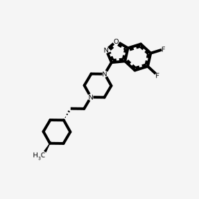 C[C@H]1CC[C@H](CCN2CCN(c3noc4cc(F)c(F)cc34)CC2)CC1